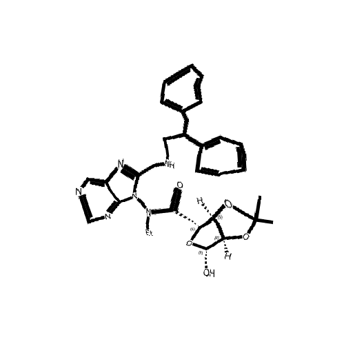 CCN(C(=O)[C@H]1O[C@@H](O)[C@@H]2OC(C)(C)O[C@@H]21)n1c(NCC(c2ccccc2)c2ccccc2)nc2cncnc21